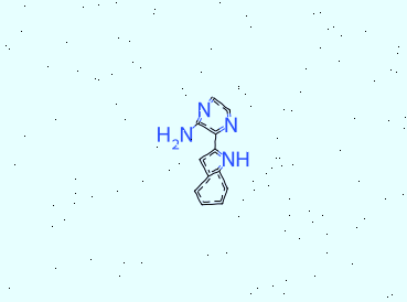 Nc1nccnc1-c1cc2ccccc2[nH]1